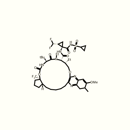 CC[C@@H]1COc2nc3c(nc2CCCCC[C@@H]2CCC[C@@]2(C(F)(F)F)OC(=O)N[C@@H](C(C)(C)C)C(=O)N(CC)[C@@H]1C(=O)N[C@]1(C(=O)NS(=O)(=O)C2CC2)C[C@H]1C(F)F)CC(C)C(OC)=C3